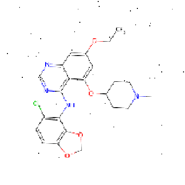 CN1CCC(Oc2cc(OCC(F)(F)F)cc3ncnc(Nc4c(Cl)ccc5c4OCO5)c23)CC1